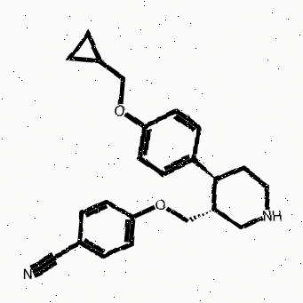 N#Cc1ccc(OC[C@H]2CNCC[C@@H]2c2ccc(OCC3CC3)cc2)cc1